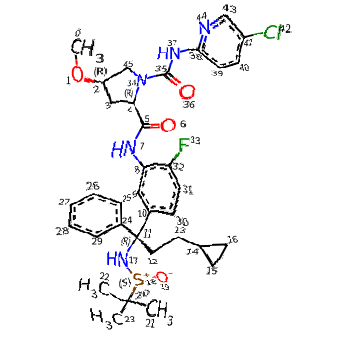 CO[C@@H]1C[C@H](C(=O)Nc2cc([C@](CCC3CC3)(N[S@+]([O-])C(C)(C)C)c3ccccc3)ccc2F)N(C(=O)Nc2ccc(Cl)cn2)C1